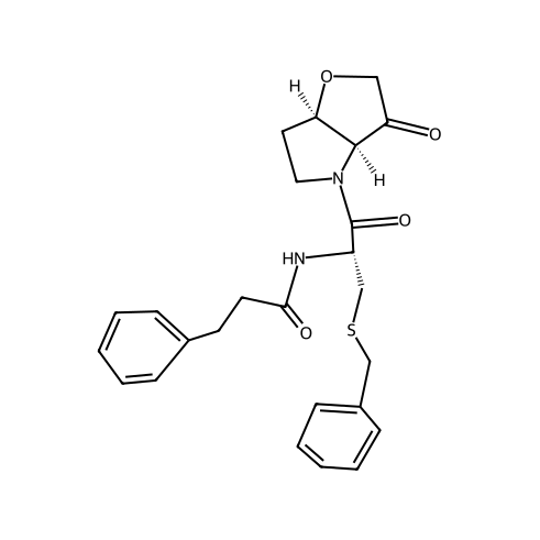 O=C(CCc1ccccc1)N[C@@H](CSCc1ccccc1)C(=O)N1CC[C@H]2OCC(=O)[C@H]21